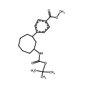 COC(=O)c1ccc(C2CCCCCC(NC(=O)OC(C)(C)C)C2)cc1